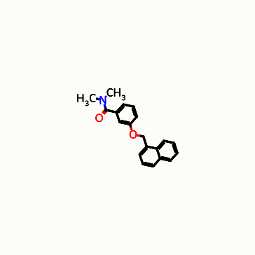 CN(C)C(=O)c1cccc(OCc2cccc3ccccc23)c1